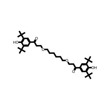 CC(C)(C)c1cc(C(=O)CCOCCCCCCOCCC(=O)c2cc(C(C)(C)C)c(O)c(C(C)(C)C)c2)cc(C(C)(C)C)c1O